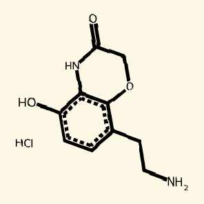 Cl.NCCc1ccc(O)c2c1OCC(=O)N2